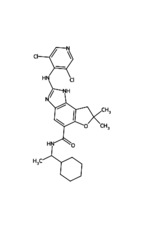 CC(NC(=O)c1cc2nc(Nc3c(Cl)cncc3Cl)[nH]c2c2c1OC(C)(C)C2)C1CCCCC1